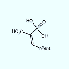 CCCCC/C=C(/C(=O)O)P(=O)(O)O